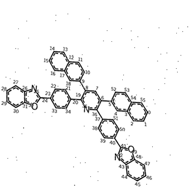 c1ccc2cc(-c3cc(-c4ccc5ccccc5c4)c(-c4ccc(-c5nc6ccccc6o5)cc4)nc3-c3ccc(-c4nc5ccccc5o4)cc3)ccc2c1